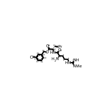 CNC(=N)NCCC[C@@H](N)C(=O)N[C@@H](CC(C)C)C(=O)OCc1cccc(Cl)c1